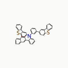 c1cc(-c2ccc3sc4ccccc4c3c2)cc(N(c2ccc3sc4ccccc4c3c2)c2ccccc2-c2ccc3ccccc3c2)c1